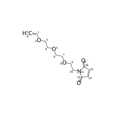 C=COCCOCCOCCN1C(=O)C=CC1=O